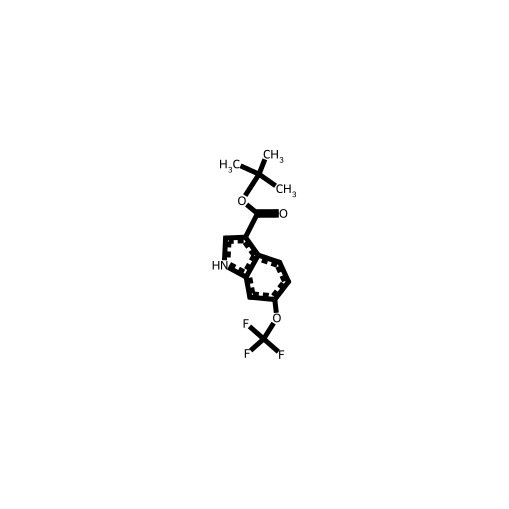 CC(C)(C)OC(=O)c1c[nH]c2cc(OC(F)(F)F)ccc12